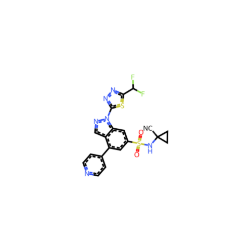 N#CC1(NS(=O)(=O)c2cc(-c3ccncc3)c3cnn(-c4nnc(C(F)F)s4)c3c2)CC1